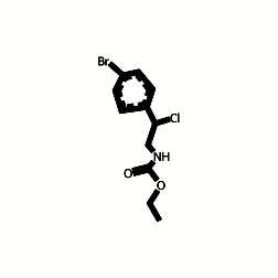 CCOC(=O)NCC(Cl)c1ccc(Br)cc1